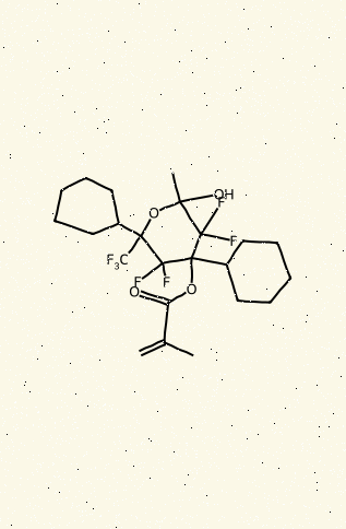 C=C(C)C(=O)OC1(C2CCCCC2)C(F)(F)C(C)(O)OC(C2CCCCC2)(C(F)(F)F)C1(F)F